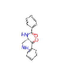 NCC(NC(=O)c1ccccc1)C(=O)c1ccccc1